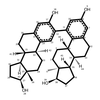 C[C@]12CC[C@@H]3c4c(cc(O)cc4-c4cc5c(cc4O)CC[C@@H]4[C@@H]5CC[C@]5(C)[C@@H](O)CC[C@@H]45)CC[C@H]3[C@@H]1CC[C@H]2O